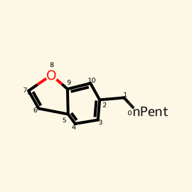 CCCCCCc1ccc2c[c]oc2c1